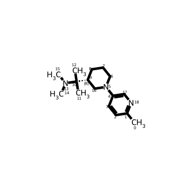 Cc1ccc(N2CCC[C@@H](C(C)(C)N(C)C)C2)cn1